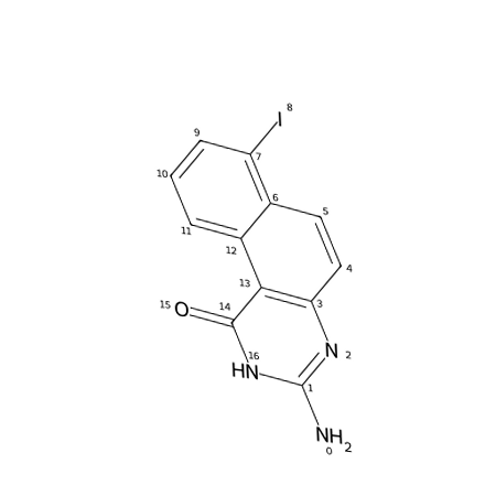 Nc1nc2ccc3c(I)cccc3c2c(=O)[nH]1